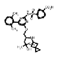 Cc1cccc(C)c1-c1cc(OCC(CC(C)(C)O)NC2CC3(CC3)C2)nc(NS(=O)(=O)c2cccc(C(=O)O)c2)n1